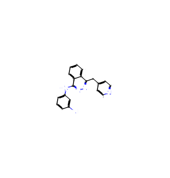 Nc1cccc(Nc2nnc(Cc3ccncc3)c3ccccc23)c1